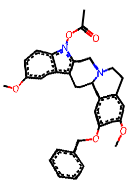 COc1ccc2c(c1)c1c(n2OC(C)=O)CN2CCc3cc(OC)c(OCc4ccccc4)cc3C2C1